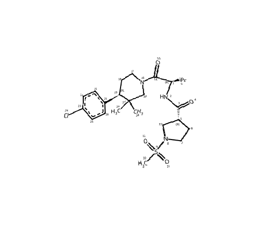 CC(C)[C@@H](NC(=O)[C@@H]1CCN(S(C)(=O)=O)C1)C(=O)N1CC[C@H](c2ccc(Cl)cc2)C(C)(C)C1